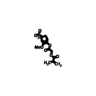 C=C(C)C(=O)OCC(=O)OC1C2CC(C1OC)C([SH](=O)=O)C2